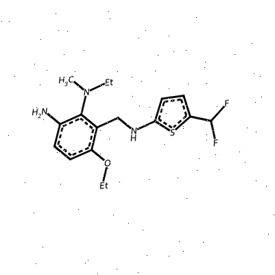 CCOc1ccc(N)c(N(C)CC)c1CNc1ccc(C(F)F)s1